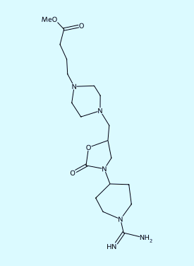 COC(=O)CCCN1CCN(CC2CN(C3CCN(C(=N)N)CC3)C(=O)O2)CC1